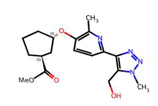 COC(=O)[C@H]1CCC[C@H](Oc2ccc(-c3nnn(C)c3CO)nc2C)C1